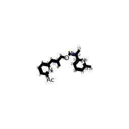 CC(=O)c1cccc(/C=C(\C)CO/N=C(/C)c2cccc(C)n2)n1